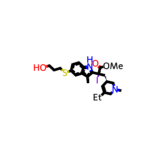 CCC1=C[C@H](C[C@@](I)(C(=O)OC)c2[nH]c3ccc(SCCCO)cc3c2C)CN(C)C1